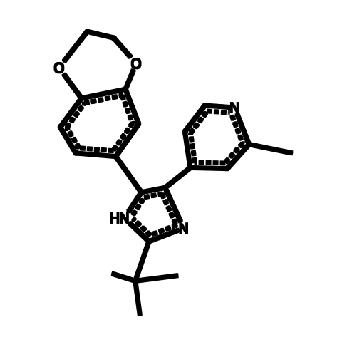 Cc1cc(-c2nc(C(C)(C)C)[nH]c2-c2ccc3c(c2)OCCO3)ccn1